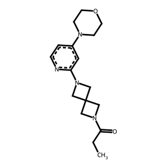 CCC(=O)N1CC2(C1)CN(c1cc(N3CCOCC3)ccn1)C2